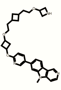 Cn1c2ccncc2c2ccc(-c3ccc(OC4CC(OCCC5CC(CCOC6CNC6)C5)C4)nc3)cc21